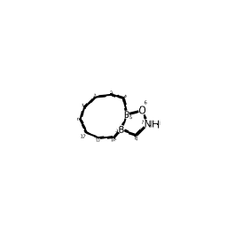 C1CCCCB2ONCB2CCC1